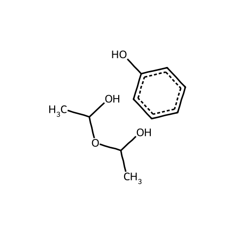 CC(O)OC(C)O.Oc1ccccc1